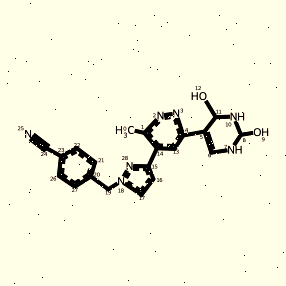 Cc1nnc(C2=CNC(O)NC2O)cc1-c1ccn(Cc2ccc(C#N)cc2)n1